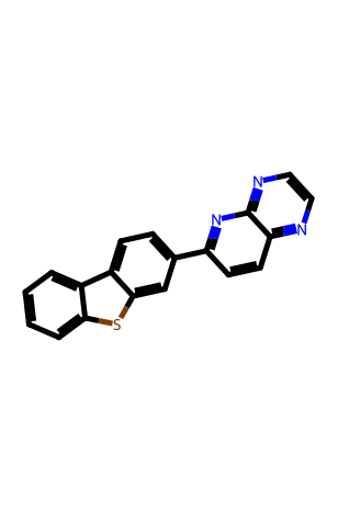 c1ccc2c(c1)sc1cc(-c3ccc4nccnc4n3)ccc12